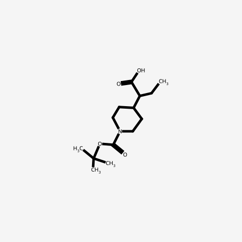 CCC(C(=O)O)C1CCN(C(=O)OC(C)(C)C)CC1